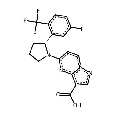 O=C(O)c1cnn2ccc(N3CCC[C@@H]3c3cc(F)ccc3C(F)(F)F)nc12